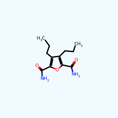 CCCc1c(C(N)=O)oc(C(N)=O)c1CCC